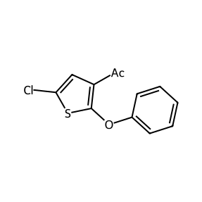 CC(=O)c1cc(Cl)sc1Oc1ccccc1